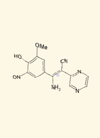 COc1cc(/C(N)=C(\C#N)c2cnccn2)cc(N=O)c1O